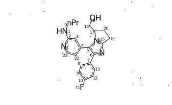 CCCNc1cc(-c2c(-c3ccc(F)cc3)nc3n2C(CO)CC3)ccn1